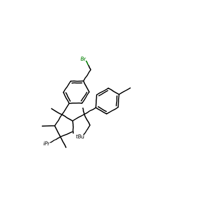 Cc1ccc(C(C)(CC(C)(C)C)C(C)C(C)(c2ccc(CBr)cc2)C(C)C(C)(C)C(C)C)cc1